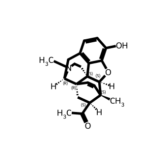 CC(=O)[C@H]1C[C@@]23C=C[C@]1(C)[C@@H]1Oc4c(O)ccc5c4[C@@]12CCN(C)[C@@H]3C5